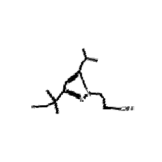 CC(C)c1cc(C(C)(C)C)nn1CCO